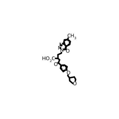 Cc1ccc2c(=O)n(CCC(CC(=O)c3ccc(OCC4CCOCC4)cc3)C(=O)O)nnc2c1